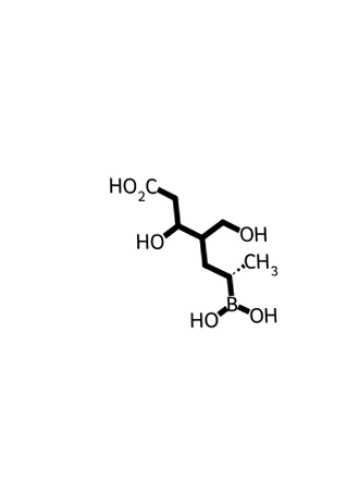 C[C@@H](CC(CO)C(O)CC(=O)O)B(O)O